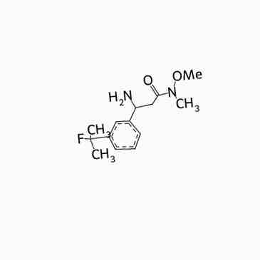 CON(C)C(=O)CC(N)c1cccc(C(C)(C)F)c1